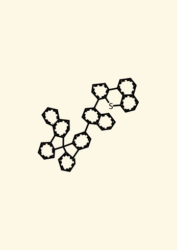 c1ccc2c(c1)-c1ccc(-c3ccc(-c4cccc5c4Sc4cccc6cccc-5c46)c4ccccc34)cc1C21c2ccccc2-c2c1ccc1ccccc21